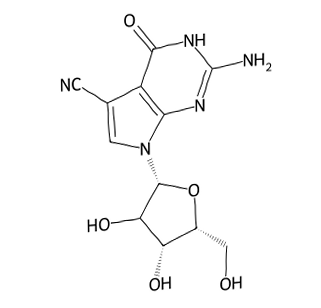 N#Cc1cn([C@@H]2O[C@H](CO)[C@H](O)C2O)c2nc(N)[nH]c(=O)c12